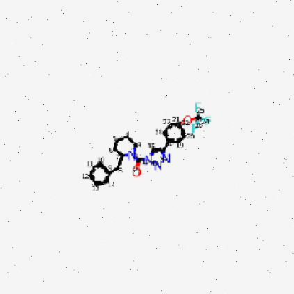 O=C(N1CCCCC1Cc1ccccc1)n1cc(-c2ccc(OC(F)(F)F)cc2)nn1